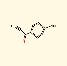 C#CC(=O)c1ccc(C(C)(C)C)cc1